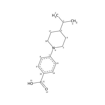 CC(C)C1CCN(c2ccc(C(=O)O)cc2)CC1